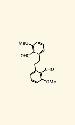 COc1cccc(CCc2cccc(OC)c2C=O)c1C=O